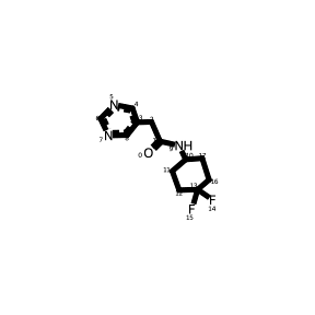 O=C(Cc1cncnc1)NC1CCC(F)(F)CC1